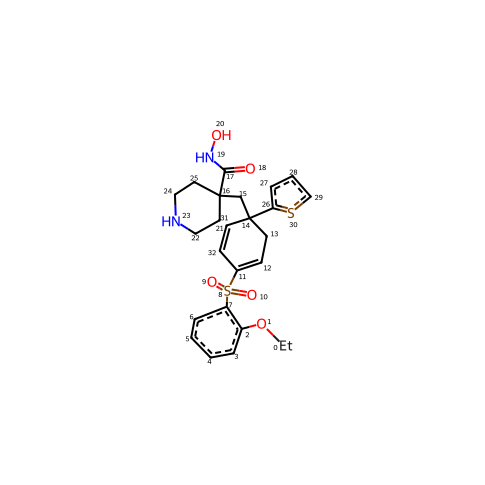 CCOc1ccccc1S(=O)(=O)C1=CCC(CC2(C(=O)NO)CCNCC2)(c2cccs2)C=C1